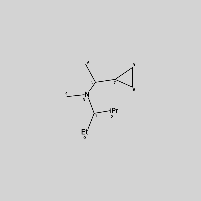 CCC(C(C)C)N(C)C(C)C1CC1